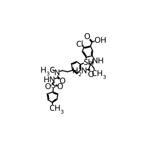 CCC1(C(N)=O)Nc2cc(C(=O)O)c(Cl)cc2[SH]1c1ccc(CCN(C)C(=O)NS(=O)(=O)c2ccc(C)cc2)cc1